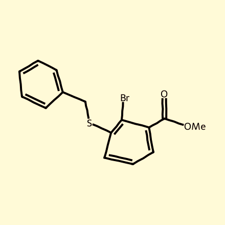 COC(=O)c1cccc(SCc2ccccc2)c1Br